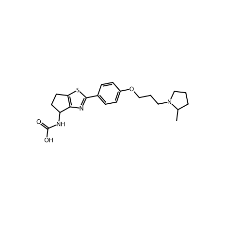 CC1CCCN1CCCOc1ccc(-c2nc3c(s2)CCC3NC(=O)O)cc1